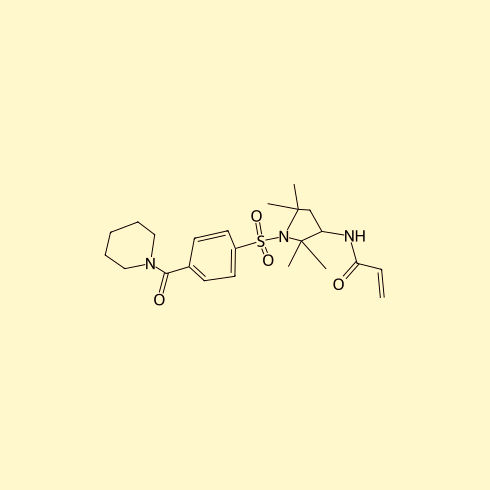 C=CC(=O)NC1CC(C)(C)N(S(=O)(=O)c2ccc(C(=O)N3CCCCC3)cc2)C1(C)C